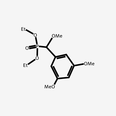 CCOP(=O)(OCC)C(OC)c1cc(OC)cc(OC)c1